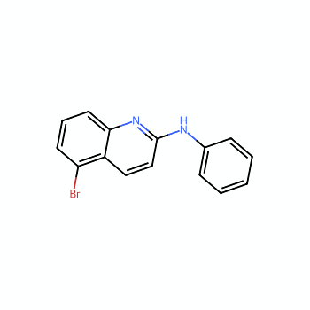 Brc1cccc2nc(Nc3ccccc3)ccc12